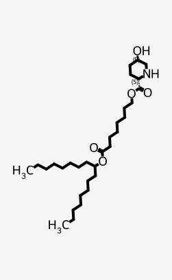 CCCCCCCCC(CCCCCCCC)OC(=O)CCCCCCCOC(=O)[C@@H]1CC[C@@H](O)CN1